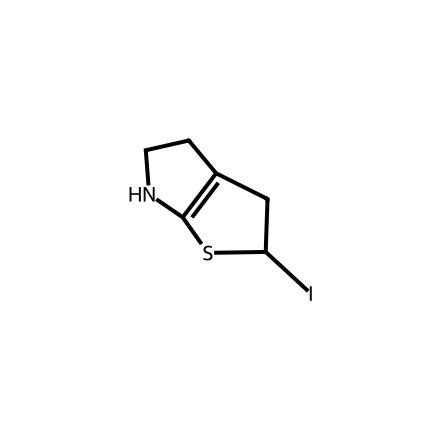 IC1CC2=C(NCC2)S1